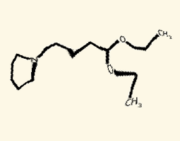 CCOC(CCCN1CCCC1)OCC